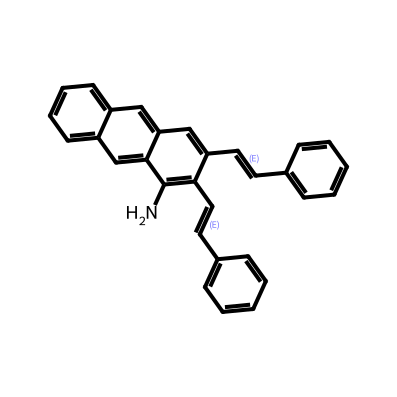 Nc1c(/C=C/c2ccccc2)c(/C=C/c2ccccc2)cc2cc3ccccc3cc12